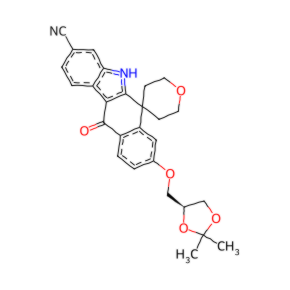 CC1(C)OC[C@H](COc2ccc3c(c2)C2(CCOCC2)c2[nH]c4cc(C#N)ccc4c2C3=O)O1